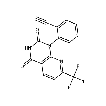 C#Cc1ccccc1-n1c(=O)[nH]c(=O)c2ccc(C(F)(F)F)nc21